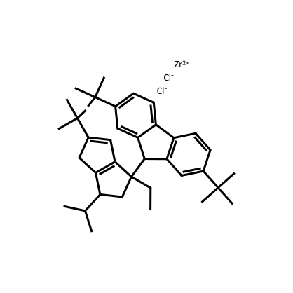 CCC1(C2c3cc(C(C)(C)C)ccc3-c3ccc(C(C)(C)C)cc32)CC(C(C)C)C2=C1C=C(C(C)(C)C)C2.[Cl-].[Cl-].[Zr+2]